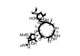 CCCNC[C@]1(O)C(C)O[C@@H](O[C@H]2[C@H](C)[C@@H](OC3OC(C)C[C@H](N(C)C)[C@H]3O)C(C)(O)C[C@@H](C)CN[C@H](C)[C@@H](O)[C@H](O)[C@@H](CC)OC(=O)[C@@H]2C)C[C@@]1(C)OC